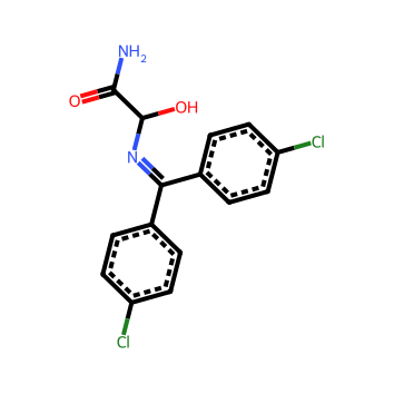 NC(=O)C(O)N=C(c1ccc(Cl)cc1)c1ccc(Cl)cc1